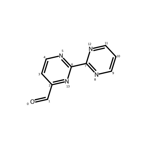 O=Cc1ccnc(-c2ncccn2)n1